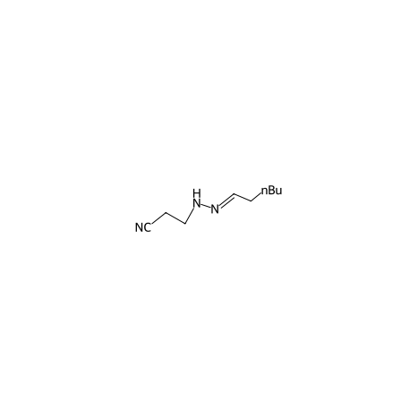 CCCCCC=NNCCC#N